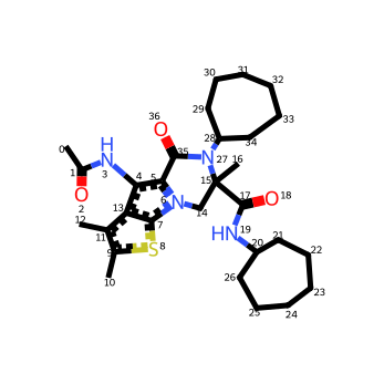 CC(=O)Nc1c2n(c3sc(C)c(C)c13)CC(C)(C(=O)NC1CCCCCC1)N(C1CCCCCC1)C2=O